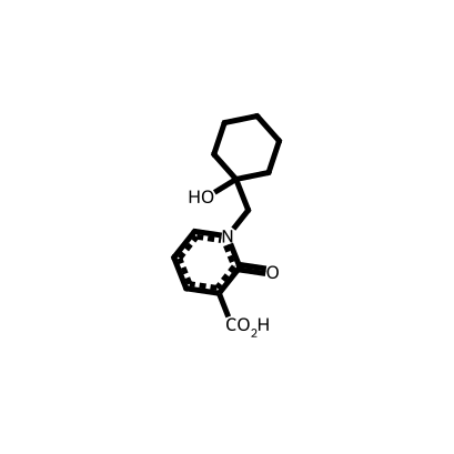 O=C(O)c1cccn(CC2(O)CCCCC2)c1=O